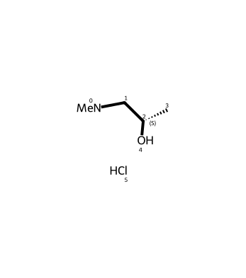 CNC[C@H](C)O.Cl